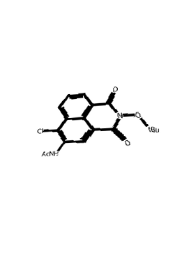 CC(=O)Nc1cc2c3c(cccc3c1Cl)C(=O)N(OC(C)(C)C)C2=O